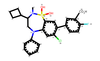 CN1C(C2CCC2)CN(c2ccccc2)c2cc(Cl)c(-c3ccc(F)c(C(=O)O)c3)cc2S1(O)O